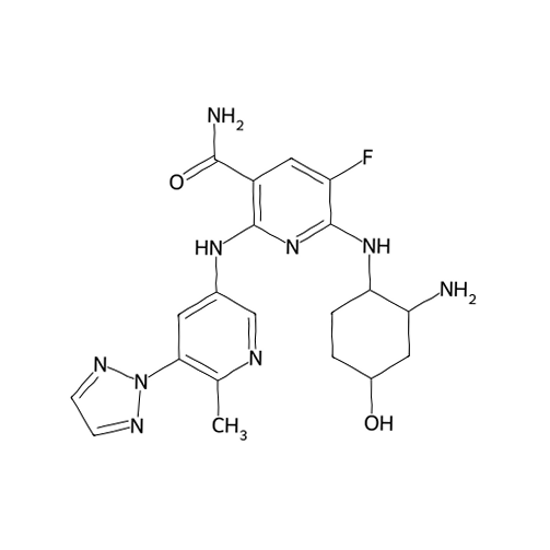 Cc1ncc(Nc2nc(NC3CCC(O)CC3N)c(F)cc2C(N)=O)cc1-n1nccn1